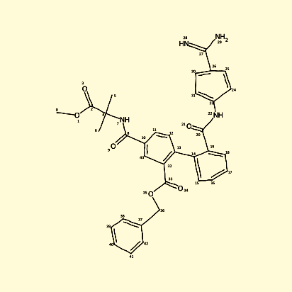 COC(=O)C(C)(C)NC(=O)c1ccc(-c2ccccc2C(=O)Nc2ccc(C(=N)N)cc2)c(C(=O)OCc2ccccc2)c1